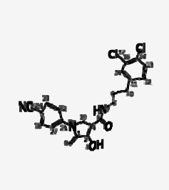 C=C1C(O)=C(C(=O)NCCCc2ccc(Cl)c(Cl)c2)CN1c1ccc(C#N)cc1